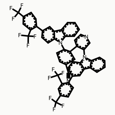 N#Cc1ccc(-n2c3ccccc3c3cc(-c4ccc(C(F)(F)F)cc4C(F)(F)F)ccc32)c(-c2ccncc2-n2c3ccccc3c3cc(-c4ccc(C(F)(F)F)cc4C(F)(F)F)ccc32)c1